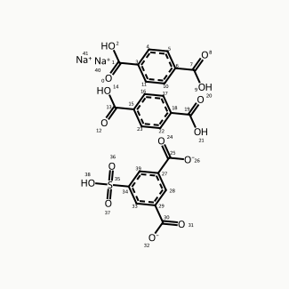 O=C(O)c1ccc(C(=O)O)cc1.O=C(O)c1ccc(C(=O)O)cc1.O=C([O-])c1cc(C(=O)[O-])cc(S(=O)(=O)O)c1.[Na+].[Na+]